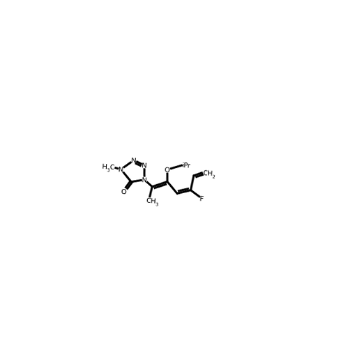 C=C/C(F)=C\C(OC(C)C)=C(/C)n1nnn(C)c1=O